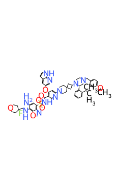 COc1ccc(CN2CCN(C3CC4(CCN(c5cc(Oc6cnc7[nH]ccc7c6)c(C(=O)NS(=O)(=O)c6cc(N)c(NCC7(F)CCOCC7)c7ocnc67)cn5)CC4)C3)[C@H](c3ccccc3C(C)C)C2)cc1